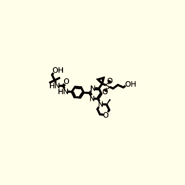 C[C@H]1COCCN1c1cc(C2(S(=O)(=O)CCCO)CC2)nc(-c2ccc(NC(=O)NC(C)(C)CO)cc2)n1